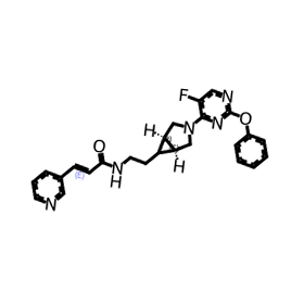 O=C(/C=C/c1cccnc1)NCCC1[C@H]2CN(c3nc(Oc4ccccc4)ncc3F)C[C@@H]12